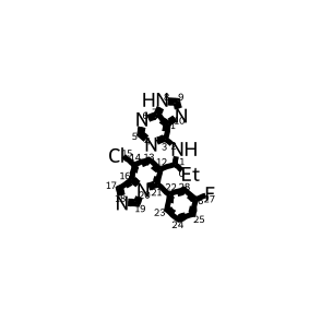 CCC(Nc1ncnc2[nH]cnc12)c1cc(Cl)c2cncn2c1-c1cccc(F)c1